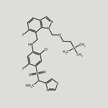 C[Si](C)(C)CCOCn1ncc2ccc(F)c(CNc3cc(F)c(S(=O)(=O)N(C(=O)O)c4cscn4)cc3Cl)c21